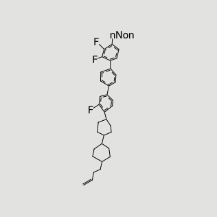 C=CCCC1CCC(C2CCC(c3ccc(-c4ccc(-c5ccc(CCCCCCCCC)c(F)c5F)cc4)cc3F)CC2)CC1